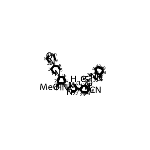 COc1cc(N2CCC(N3CCOCC3)CC2)ccc1Nc1ncc(-c2ccc(C#N)c(O[SiH](C)Cn3cnc4ccccc43)c2)cn1